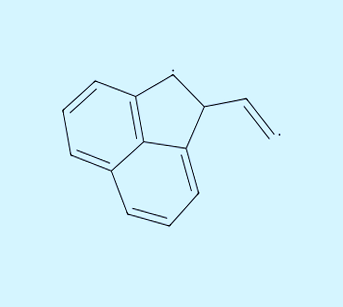 [CH]=CC1[CH]c2cccc3cccc1c23